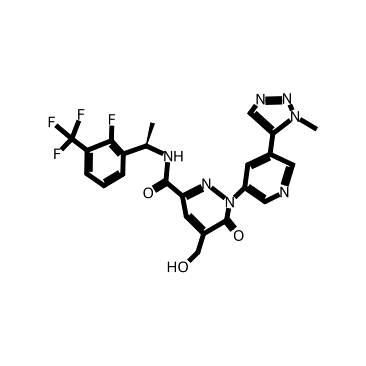 C[C@@H](NC(=O)c1cc(CO)c(=O)n(-c2cncc(-c3cnnn3C)c2)n1)c1cccc(C(F)(F)F)c1F